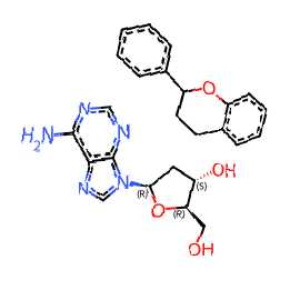 Nc1ncnc2c1ncn2[C@H]1C[C@H](O)[C@@H](CO)O1.c1ccc(C2CCc3ccccc3O2)cc1